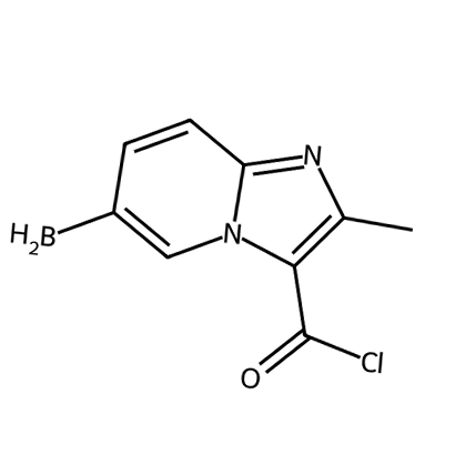 Bc1ccc2nc(C)c(C(=O)Cl)n2c1